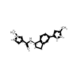 Cc1cc(-c2ccc3c(c2)CC[C@H]3NC(=O)c2cnn(C)c2)no1